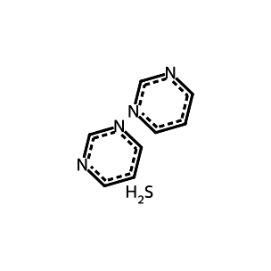 S.c1cncnc1.c1cncnc1